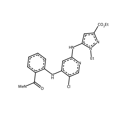 CCOC(=O)c1cc(Nc2cc(Nc3ccccc3C(=O)NC)c(Cl)cn2)n(CC)n1